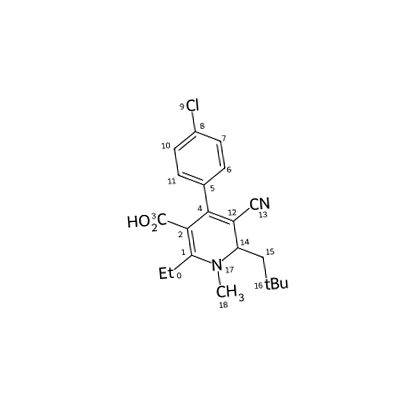 CCC1=C(C(=O)O)C(c2ccc(Cl)cc2)=C(C#N)C(CC(C)(C)C)N1C